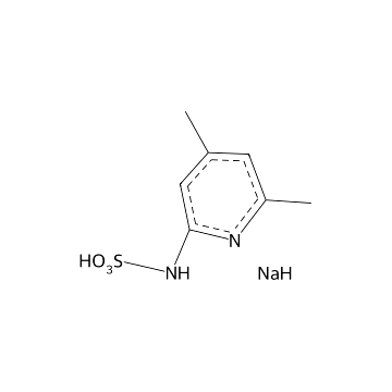 Cc1cc(C)nc(NS(=O)(=O)O)c1.[NaH]